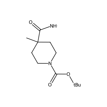 CC(C)(C)OC(=O)N1CCC(C)(C([NH])=O)CC1